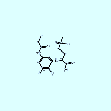 CCC(=O)Nc1ccc(Cl)c(Cl)c1.CP(=O)(O)CCC(N)C(=O)O